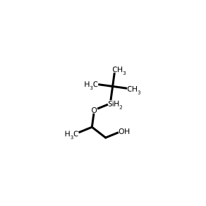 CC(CO)O[SiH2]C(C)(C)C